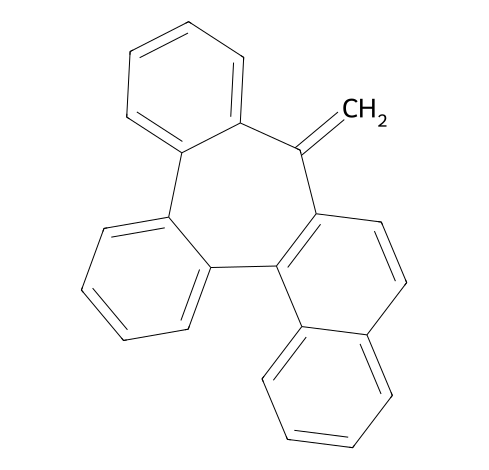 C=C1c2ccccc2-c2ccccc2-c2c1ccc1ccccc21